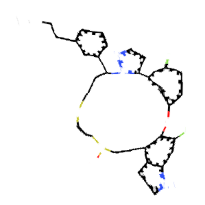 O=C(O)CCc1cccc(C2CCSCC[S+]([O-])CCc3c(c(F)cc4[nH]ccc34)Oc3ccc(F)c(c3)-c3ccnn32)c1